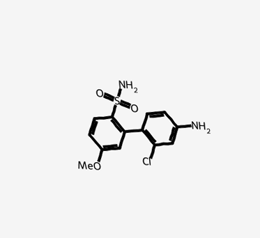 COc1ccc(S(N)(=O)=O)c(-c2ccc(N)cc2Cl)c1